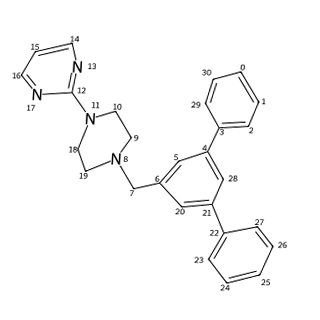 c1ccc(-c2cc(CN3CCN(c4ncccn4)CC3)cc(-c3ccccc3)c2)cc1